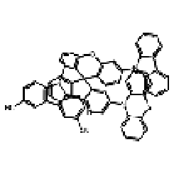 N#Cc1ccc2c(c1)c1cc(C#N)ccc1n2-c1cccc2c1C1(c3ccc(-n4c5ccccc5c5ccccc54)cc3O2)c2cccnc2-c2ncc(N3c4ccccc4Sc4ccccc43)cc21